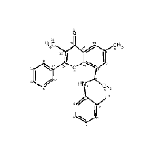 Cc1cc(C(C)Nc2ccccc2I)c2oc(-c3ccccc3)c(C)c(=O)c2c1